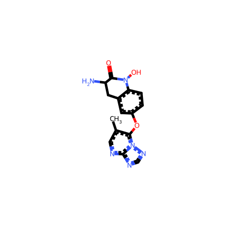 Cc1cnc2ncnn2c1Oc1ccc2c(c1)CC(N)C(=O)N2O